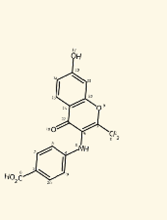 O=C(O)c1ccc(Nc2c(C(F)(F)F)oc3cc(O)ccc3c2=O)cc1